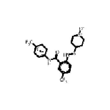 O=C(NC12CCC(C(F)(F)F)(CC1)CC2)c1cc(C(F)(F)F)ccc1NSC1CC[S+]([O-])CC1